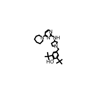 CC(C)(C)c1cc(CN2CCC(Nc3nccc(N4CCCCCC4)n3)C2)cc(C(C)(C)C)c1O